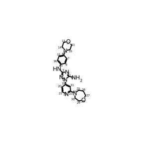 Nc1nc(Nc2ccc(N3CCOCC3)cc2)nn1-c1ccnc(N2CCCOCC2)c1